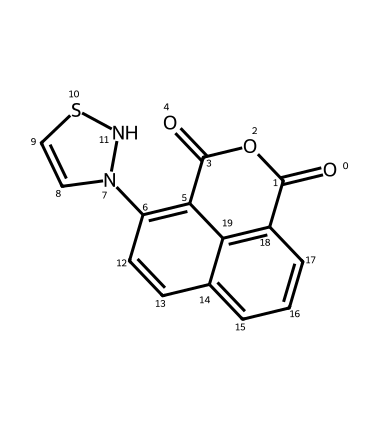 O=C1OC(=O)c2c(N3C=CSN3)ccc3cccc1c23